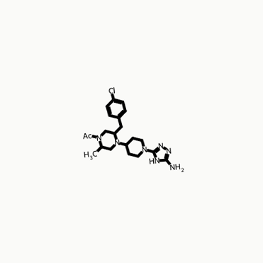 CC(=O)N1CC(Cc2ccc(Cl)cc2)N(C2CCN(c3nnc(N)[nH]3)CC2)CC1C